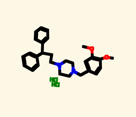 COc1ccc(CN2CCN(CCC(c3ccccc3)c3ccccc3)CC2)cc1OC.Cl.Cl